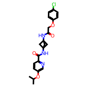 CC(C)Oc1ccc(C(=O)NC23CC(NC(=O)COc4ccc(Cl)cc4)(C2)C3)nc1